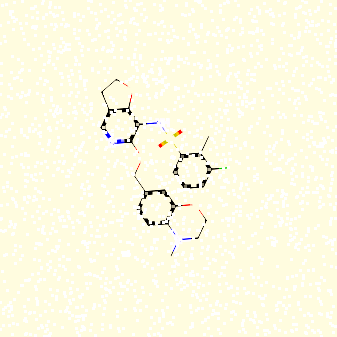 Cc1c(Cl)cccc1S(=O)(=O)Nc1c(OCc2ccc3c(c2)OCCN3C)ncc2c1OCC2